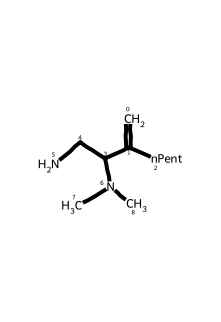 C=C(CCCCC)C(CN)N(C)C